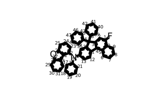 Fc1cc2c(c3ccccc13)-c1ccc(N(c3ccccc3)c3cccc4oc5ccccc5c34)cc1C2(c1ccccc1)c1ccccc1